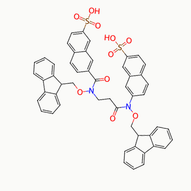 O=C(c1ccc2ccc(S(=O)(=O)O)cc2c1)N(CCC(=O)N(OCC1c2ccccc2-c2ccccc21)c1ccc2ccc(S(=O)(=O)O)cc2c1)OCC1c2ccccc2-c2ccccc21